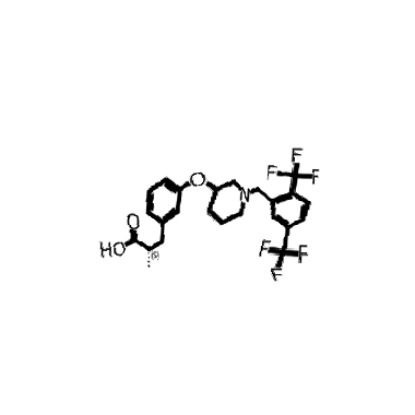 C[C@@H](Cc1cccc(OC2CCCN(Cc3cc(C(F)(F)F)ccc3C(F)(F)F)C2)c1)C(=O)O